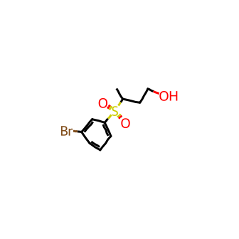 CC(CCO)S(=O)(=O)c1cccc(Br)c1